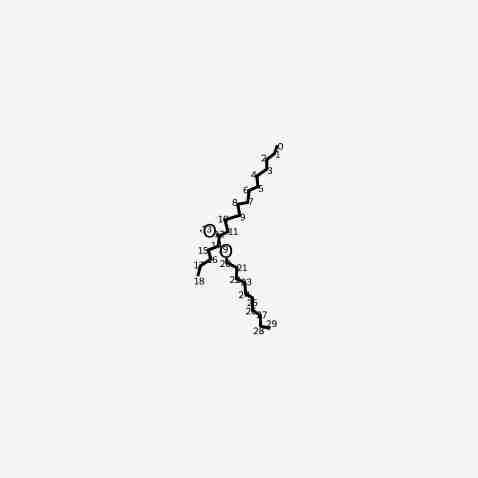 CCCCCCCCCCCCC([O])C(CCCC)OCCCCCCCCCC